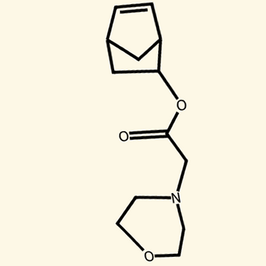 O=C(CN1CCOCC1)OC1CC2C=CC1C2